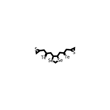 [Te]=C(CC1CS1)CC1[Se]C[Se]C1CC(=[Te])CC1CS1